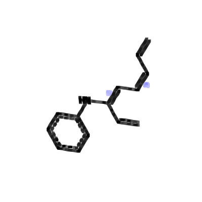 C=C/C=C\C=C(/C=C)Nc1ccccc1